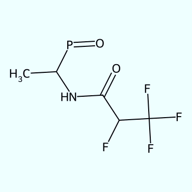 CC(NC(=O)C(F)C(F)(F)F)P=O